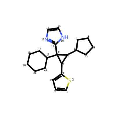 c1csc(C2[C](C3CCCC3)C2(c2ncc[nH]2)C2CCCCC2)c1